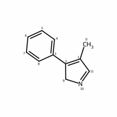 CC1=C(c2ccccc2)CN=C1